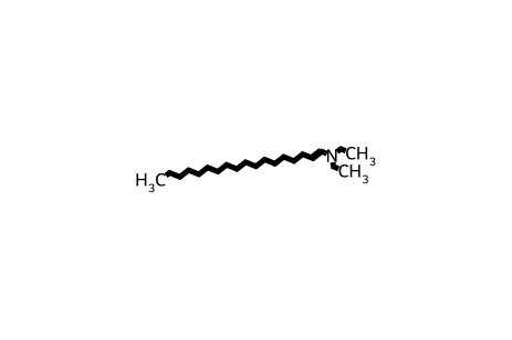 CCCCCCCCCCCCCCCCC=CN(CC)CC